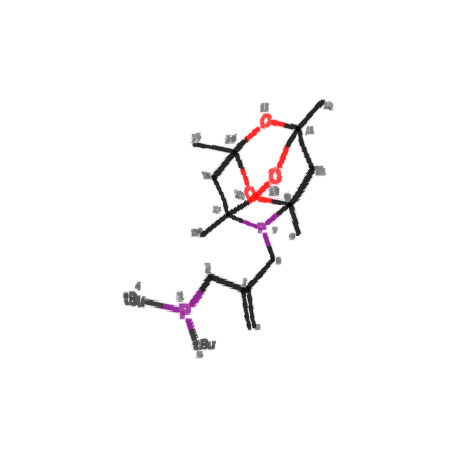 C=C(CP(C(C)(C)C)C(C)(C)C)CP1C2(C)CC3(C)OC(C)(CC1(C)O3)O2